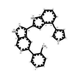 Cc1ccncc1-c1cc2c(-c3cc4c(-c5ccoc5)cccc4[nH]3)n[nH]c2cn1